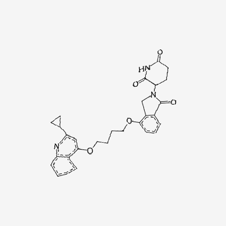 O=C1CCC(N2Cc3c(OCCCCOc4cc(C5CC5)nc5ccccc45)cccc3C2=O)C(=O)N1